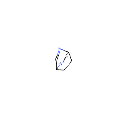 C1=NC2CCC1[N]C2